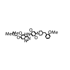 COCCOc1cc2ncnc(NC3=CC(=O)C(N4CCC(Cc5ccccc5OC)CC4)=CC3=O)c2cc1OC